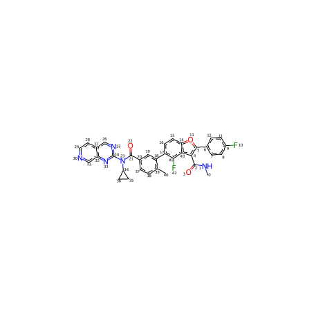 CNC(=O)c1c(-c2ccc(F)cc2)oc2ccc(-c3cc(C(=O)N(c4ncc5ccncc5n4)C4CC4)ccc3C)c(F)c12